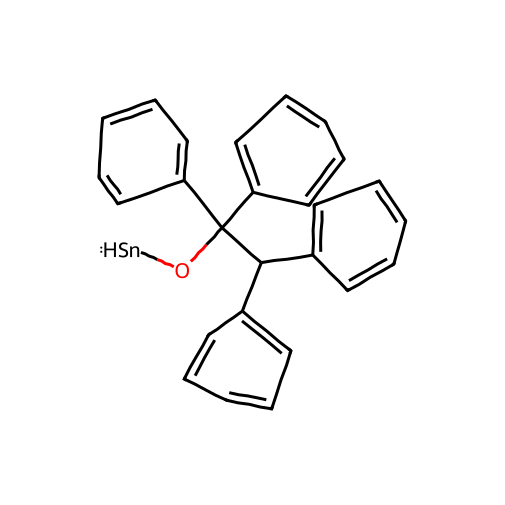 [SnH][O]C(c1ccccc1)(c1ccccc1)C(c1ccccc1)c1ccccc1